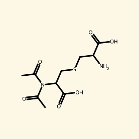 CC(=O)N(C(C)=O)C(CSCC(N)C(=O)O)C(=O)O